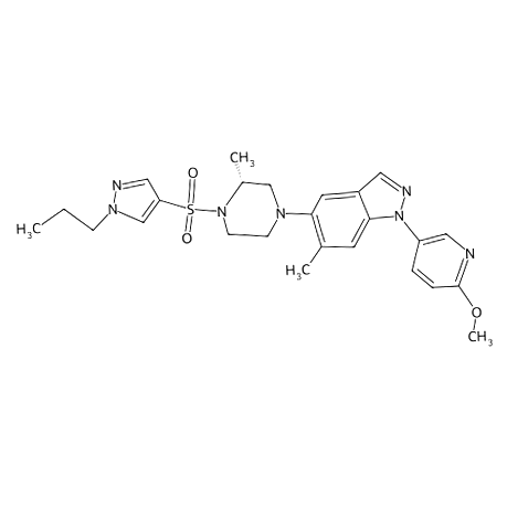 CCCn1cc(S(=O)(=O)N2CCN(c3cc4cnn(-c5ccc(OC)nc5)c4cc3C)C[C@H]2C)cn1